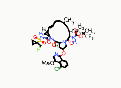 COc1cnc(O[C@@H]2C[C@H]3C(=O)N[C@]4(C(=O)NS(=O)(=O)C5(CF)CC5)C[C@H]4/C=C/CC[C@@H](C)C[C@@H](C)[C@H](NC(=O)OC(C)(C)C(F)(F)F)C(=O)N3C2)c2cccc(Cl)c12